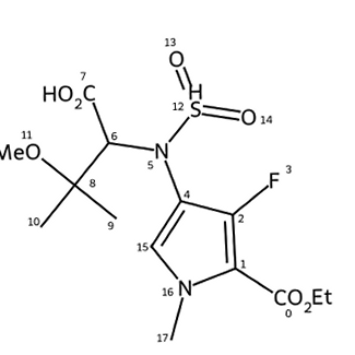 CCOC(=O)c1c(F)c(N(C(C(=O)O)C(C)(C)OC)[SH](=O)=O)cn1C